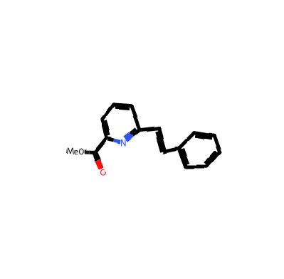 COC(=O)c1cccc(C=Cc2ccccc2)n1